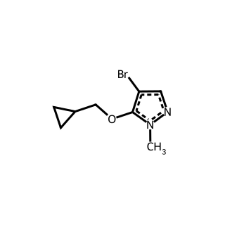 Cn1ncc(Br)c1OCC1CC1